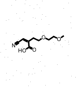 COCCOCCC(=CC#N)C(=O)O